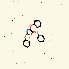 c1ccc(Oc2nc(Oc3ccccc3)c(Oc3ccccc3)o2)cc1